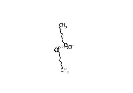 CCCCCCCCC1=[C]([Zr+2][C]2=C(CCCCCCCC)C=CC2)CC=C1.[Cl-].[Cl-]